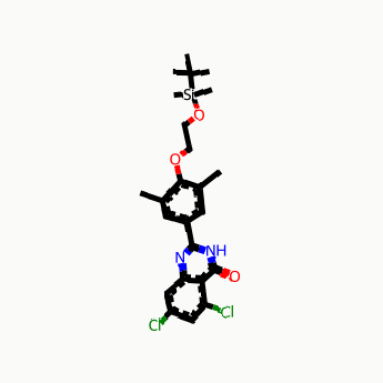 Cc1cc(-c2nc3cc(Cl)cc(Cl)c3c(=O)[nH]2)cc(C)c1OCCO[Si](C)(C)C(C)(C)C